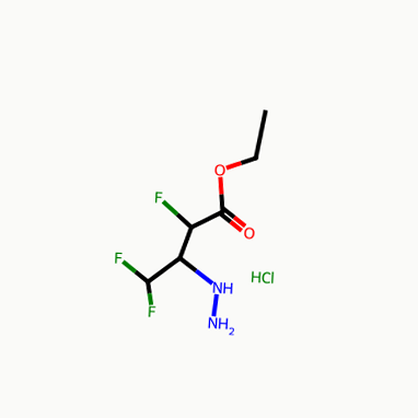 CCOC(=O)C(F)C(NN)C(F)F.Cl